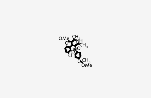 COC(=O)C1=C(C)NC(C)=C(S(=O)(=O)c2ccc(OC(C)OC)cc2)C1c1cccc(Cl)c1Cl